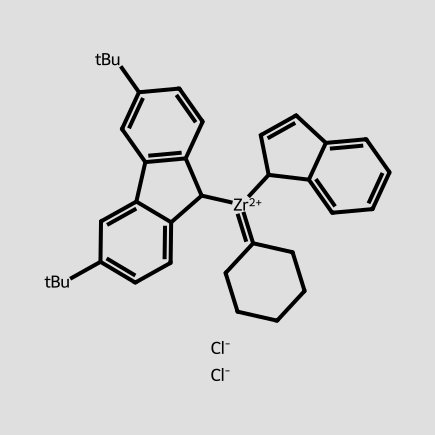 CC(C)(C)c1ccc2c(c1)-c1cc(C(C)(C)C)ccc1[CH]2[Zr+2](=[C]1CCCCC1)[CH]1C=Cc2ccccc21.[Cl-].[Cl-]